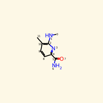 CNc1nc(C(N)=O)ccc1C